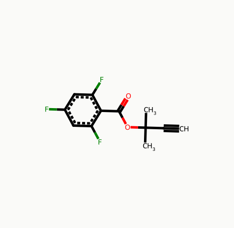 C#CC(C)(C)OC(=O)c1c(F)cc(F)cc1F